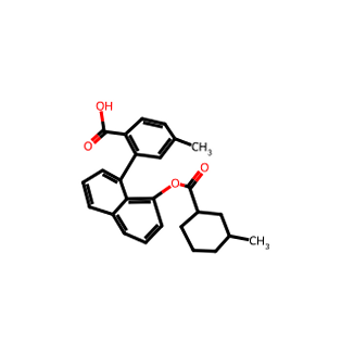 Cc1ccc(C(=O)O)c(-c2cccc3cccc(OC(=O)C4CCCC(C)C4)c23)c1